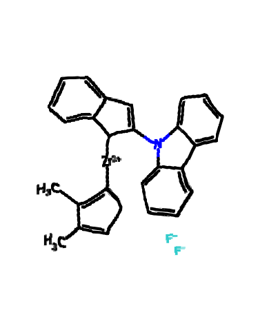 CC1=CC[C]([Zr+2][CH]2C(n3c4ccccc4c4ccccc43)=Cc3ccccc32)=C1C.[F-].[F-]